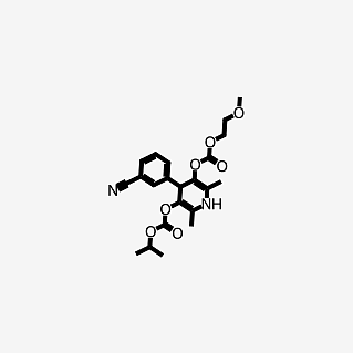 COCCOC(=O)OC1=C(C)NC(C)=C(OC(=O)OC(C)C)C1c1cccc(C#N)c1